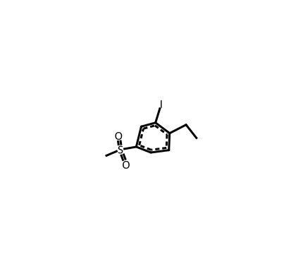 CCc1ccc(S(C)(=O)=O)cc1I